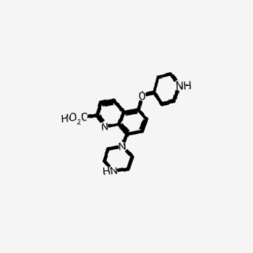 O=C(O)c1ccc2c(OC3CCNCC3)ccc(N3CCNCC3)c2n1